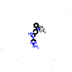 CN(C)[C@]1(c2ccccc2)CC[C@]2(CC1)CN(c1cnc(N)nc1)CN2